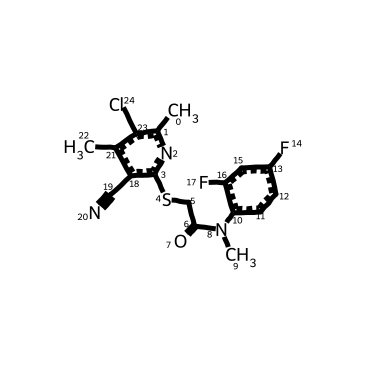 Cc1nc(SCC(=O)N(C)c2ccc(F)cc2F)c(C#N)c(C)c1Cl